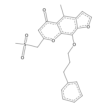 Cc1c2ccoc2c(OCCCc2ccccc2)c2oc(CS(C)(=O)=O)cc(=O)c12